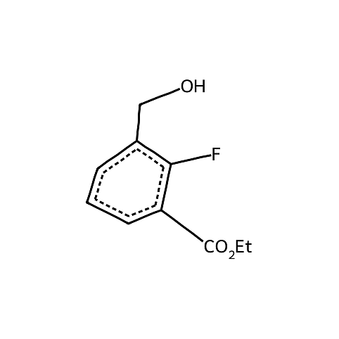 CCOC(=O)c1cccc(CO)c1F